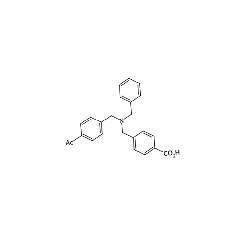 CC(=O)c1ccc(CN(Cc2ccccc2)Cc2ccc(C(=O)O)cc2)cc1